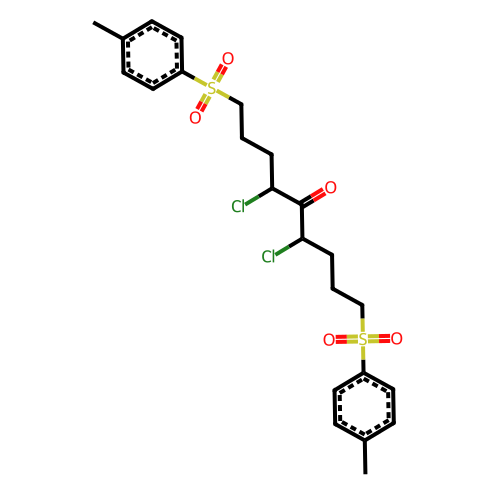 Cc1ccc(S(=O)(=O)CCCC(Cl)C(=O)C(Cl)CCCS(=O)(=O)c2ccc(C)cc2)cc1